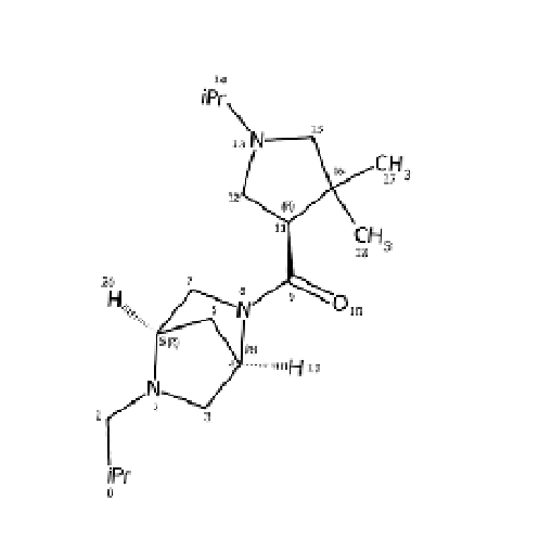 CC(C)CN1C[C@H]2C[C@@H]1CN2C(=O)[C@H]1CN(C(C)C)CC1(C)C